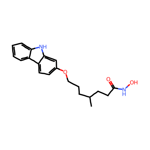 CC(CCCOc1ccc2c(c1)[nH]c1ccccc12)CCC(=O)NO